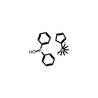 OP(c1ccccc1)c1ccccc1.[CH3][Ir]([CH3])([CH3])([CH3])([CH3])([I])([I])[C]1=CC=CC1